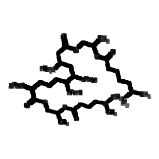 CCCCCCCC(CC(=O)OCC(C)OC(=O)CCCCN(C)C)CC(CCCCC)C(CCCCC)CCCC(CCCCC)C(=O)OCC(C)OC(=O)CCCN(C)C